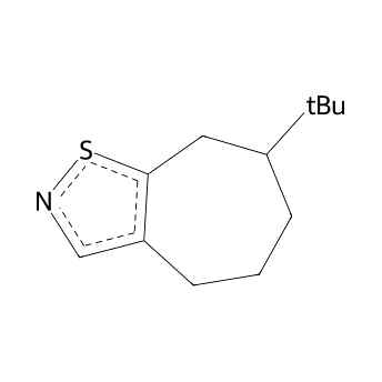 CC(C)(C)C1CCCc2cnsc2C1